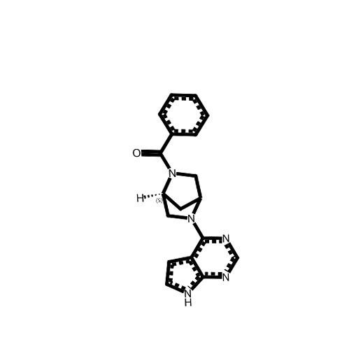 O=C(c1ccccc1)N1CC2C[C@H]1CN2c1ncnc2[nH]ccc12